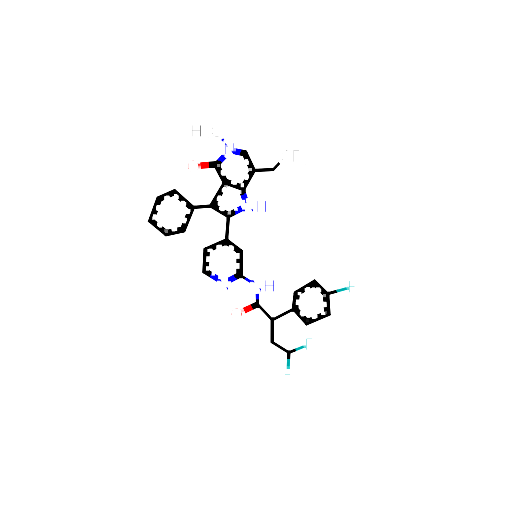 Cn1cc(CC(F)(F)F)c2[nH]c(-c3ccnc(NC(=O)C(CC(F)F)c4ccc(F)cc4)c3)c(-c3ccccc3)c2c1=O